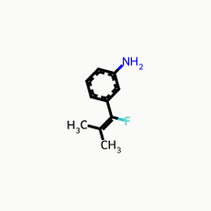 CC(C)=C(F)c1cccc(N)c1